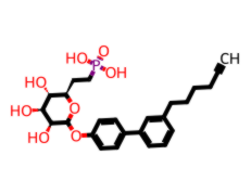 C#CCCCCc1cccc(-c2ccc(OC3O[C@H](CCP(=O)(O)O)[C@@H](O)[C@H](O)[C@@H]3O)cc2)c1